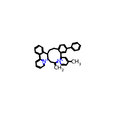 C=C1CC2C(CCc3ccc(-c4ccccc4)cc3-c3cc(C)cc[n+]31)c1ccccc1-c1cccc[n+]12